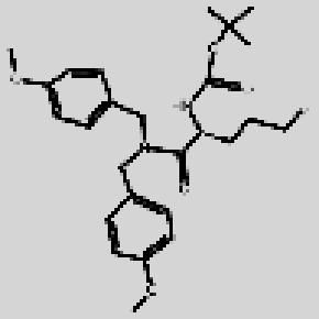 [CH2]CCC[C@H](NC(=O)OC(C)(C)C)C(=O)N(Cc1ccc(OC)cc1)Cc1ccc(OC)cc1